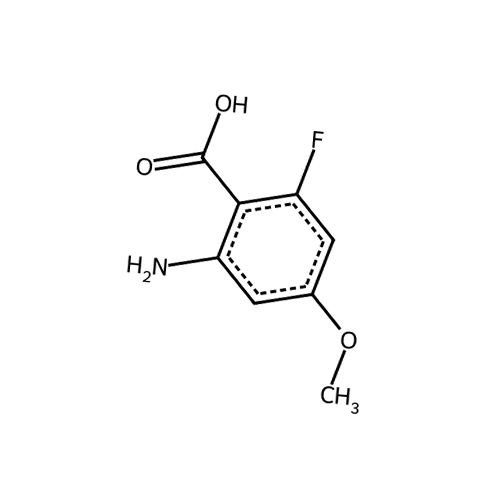 COc1cc(N)c(C(=O)O)c(F)c1